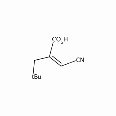 CC(C)(C)CC(=CC#N)C(=O)O